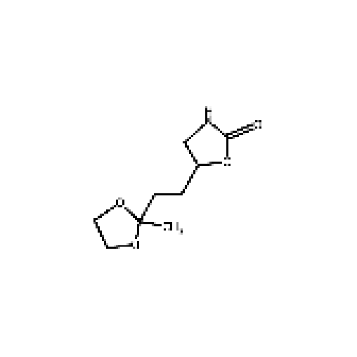 CC1(CCC2CNC(=O)O2)OCCO1